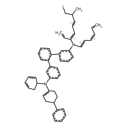 C=C/C=C\C=C\N(/C(C=C)=C/C=C/C(C)CI)c1cccc(-c2ccccc2-c2cccc(N(C3=CCC(c4ccccc4)CC3)C3C=CC=CC3)c2)c1